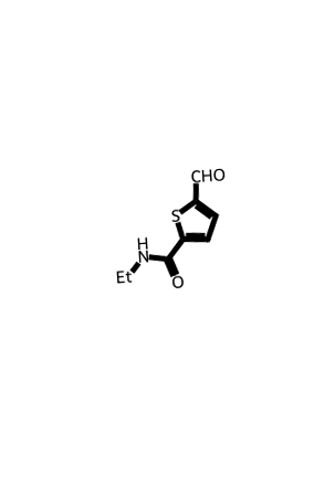 CCNC(=O)c1ccc(C=O)s1